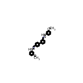 COc1cccc(N/N=C/c2ccc(-c3cccc(/C=N/Nc4cccc(OC)c4)c3)cc2)c1